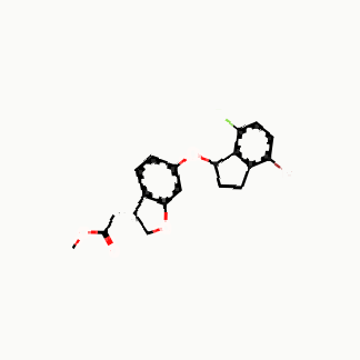 COC(=O)C[C@H]1COc2cc(OC3CCc4c(Br)ccc(F)c43)ccc21